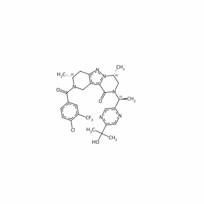 C[C@@H]1Cc2nn3c(c2CN1C(=O)c1ccc(Cl)c(C(F)(F)F)c1)C(=O)N([C@@H](C)c1cnc(C(C)(C)O)cn1)C[C@H]3C